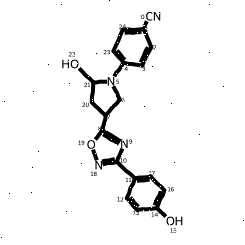 N#Cc1ccc(N2CC(c3nc(-c4ccc(O)cc4)no3)CC2O)cc1